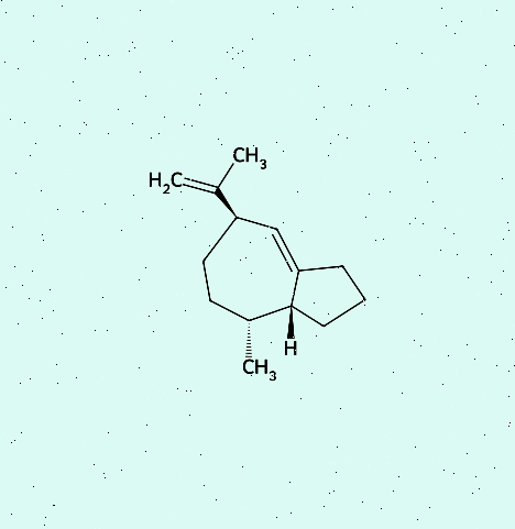 C=C(C)[C@H]1C=C2CCC[C@@H]2[C@H](C)CC1